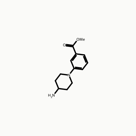 COC(=O)c1cccc(N2CCC(N)CC2)c1